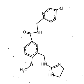 COc1ccc(C(=O)NCc2ccc(Cl)cn2)cc1CNC1=NCCN1